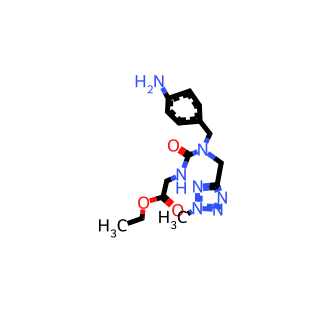 CCOC(=O)CNC(=O)N(Cc1ccc(N)cc1)Cc1nnn(C)n1